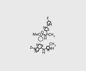 CO[C@]1(C(=O)N[C@@H](C)c2cnc(-n3cc(F)cn3)s2)CC[C@@H](c2nc(Nc3cc(C)[nH]n3)c3cnn(C4CC4)c3n2)CC1